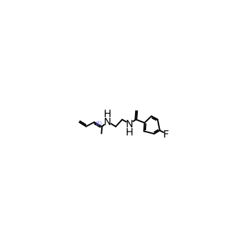 C=C/C=C(\C)NCCNC(=C)c1ccc(F)cc1